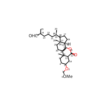 COCOC1CC[C@]2(C)C3=C(OC(=O)C2C1)[C@@H]1CC[C@H]([C@H](C)CCCC(C)C=O)[C@@]1(C)CC3